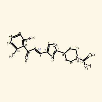 O=C(/C=C/c1csc(C2CCN(C(=O)O)CC2)n1)c1c(F)cccc1F